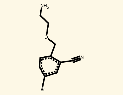 N#Cc1cc(Br)ccc1COCCN